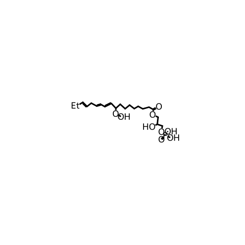 CCC=CCC=CC=CC(CCCCCCCC(=O)OCC(O)COP(=O)(O)O)OO